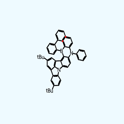 CC(C)(C)c1ccc2c(c1)c1cc(C(C)(C)C)cc3c4c5c(ccc4n2c13)N(c1ccccc1)c1ccccc1B5c1ccccc1-c1ccccc1